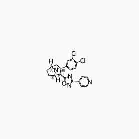 CN1[C@@H]2CC[C@H]1[C@H](c1nc(-c3ccncc3)no1)[C@H](c1ccc(Cl)c(Cl)c1)C2